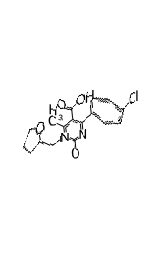 Cc1c(C(=O)O)c(-c2ccc(Cl)cc2)nc(=O)n1CC1CCCO1